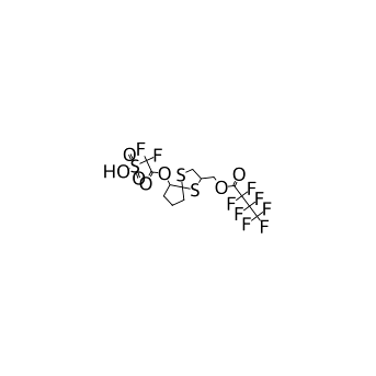 O=C(OCC1CSC2(CCCC2OC(=O)C(F)(F)S(=O)(=O)O)S1)C(F)(F)C(F)(F)C(F)(F)F